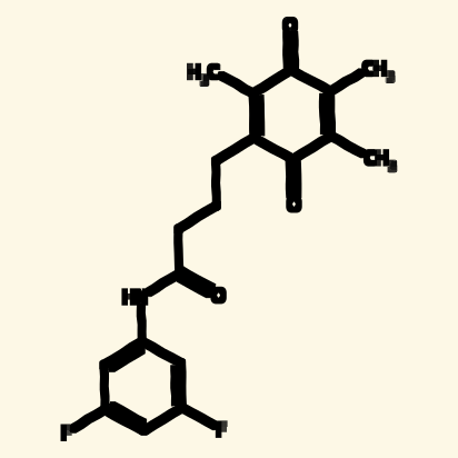 CC1=C(C)C(=O)C(CCCC(=O)Nc2cc(F)cc(F)c2)=C(C)C1=O